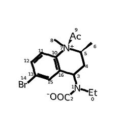 CCN(C(=O)[O-])C1C[C@H](C)[N@+](C)(C(C)=O)c2ccc(Br)cc21